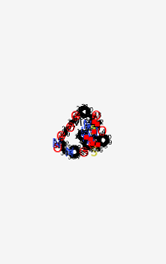 CN[C@@H](C)C(=O)N[C@H](C(=O)N1CCC[C@H]1c1nc(C(=O)c2cccc(OCCOCCOc3cc(CN4CCC(Oc5ccnc6ccsc56)CC4)on3)c2)cs1)C1CCCCC1